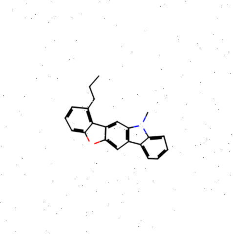 CCCc1cccc2oc3cc4c5ccccc5n(C)c4cc3c12